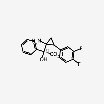 NC1([C@](O)(C(=O)O)c2ccccc2)CC1c1ccc(F)c(F)c1